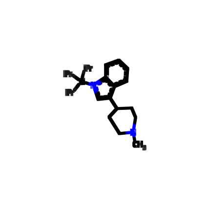 CC(C)[Si](C(C)C)(C(C)C)n1cc(C2CCN(C)CC2)c2ccccc21